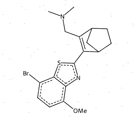 COc1ccc(Br)c2sc(C3=C(CN(C)C)C4CCC3C4)nc12